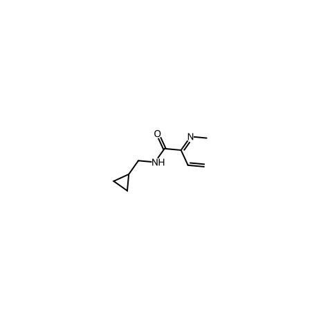 C=C/C(=N\C)C(=O)NCC1CC1